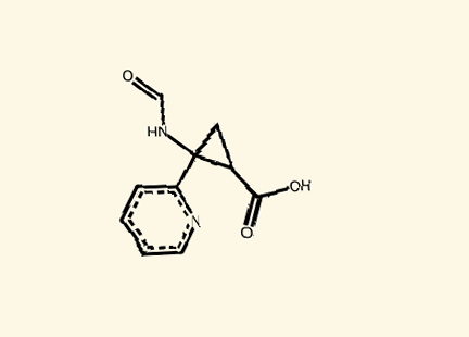 O=CNC1(c2ccccn2)CC1C(=O)O